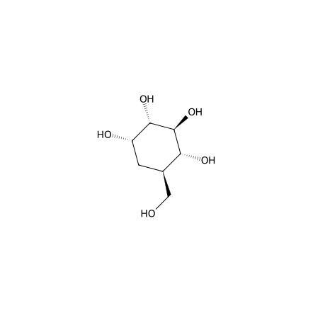 OC[C@H]1C[C@H](O)[C@H](O)[C@@H](O)[C@@H]1O